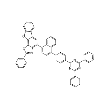 c1ccc(-c2nc(-c3ccccc3)nc(-c3ccc(-c4ccc(-c5cc6c7ccccc7oc6c6oc(-c7ccccc7)nc56)c5ccccc45)cc3)n2)cc1